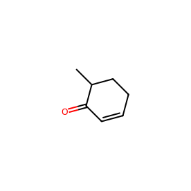 CC1CCC=CC1=O